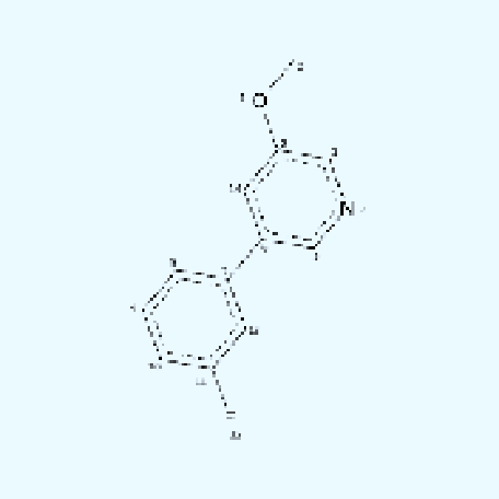 COc1cncc(-c2cccc(F)c2)c1